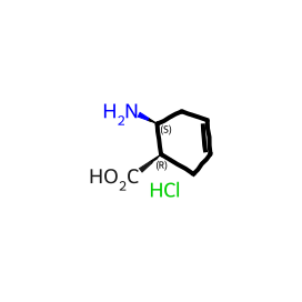 Cl.N[C@H]1CC=CC[C@H]1C(=O)O